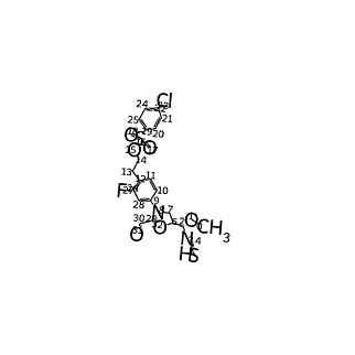 COC(NC=S)C1CN(c2ccc(CCOS(=O)(=O)c3ccc(Cl)cc3)c(F)c2)C(C=O)O1